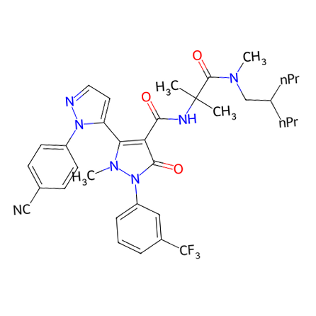 CCCC(CCC)CN(C)C(=O)C(C)(C)NC(=O)c1c(-c2ccnn2-c2ccc(C#N)cc2)n(C)n(-c2cccc(C(F)(F)F)c2)c1=O